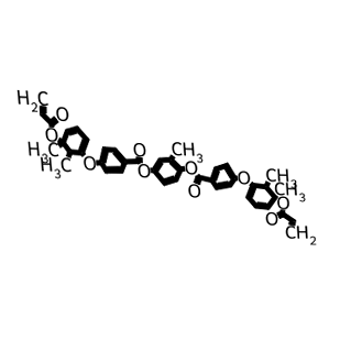 C=CC(=O)OC1(C)C=CC=C(Oc2ccc(C(=O)Oc3ccc(OC(=O)c4ccc(OC5=CC=CC(C)(OC(=O)C=C)C5C)cc4)c(C)c3)cc2)C1C